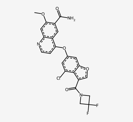 COc1cc2nccc(Oc3cc(Cl)c4c(C(=O)N5CC(F)(F)C5)coc4c3)c2cc1C(N)=O